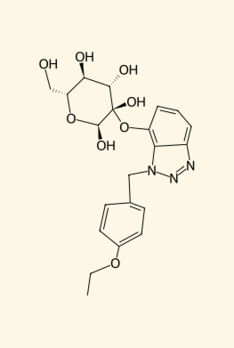 CCOc1ccc(Cn2nnc3cccc(O[C@]4(O)[C@@H](O)O[C@H](CO)[C@@H](O)[C@@H]4O)c32)cc1